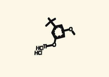 COc1cc([O][Ti])cc(C(C)(C)C)c1.Cl.Cl